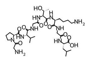 CC(C)C[C@H](NC(=O)CNC(=O)[C@H](CCCCN)NC(=O)[C@@H](NC(=O)CNC(=O)[C@@H](NC(=O)[C@@H]1CCCN1C(=O)CN)C(C)C)[C@@H](C)O)C(=O)O